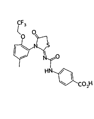 Cc1ccc(OCC(F)(F)F)c(N2C(=O)CS/C2=N\C(=O)Nc2ccc(C(=O)O)cc2)c1